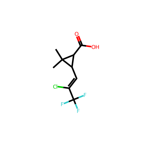 CC1(C)C(/C=C(\Cl)C(F)(F)F)C1C(=O)O